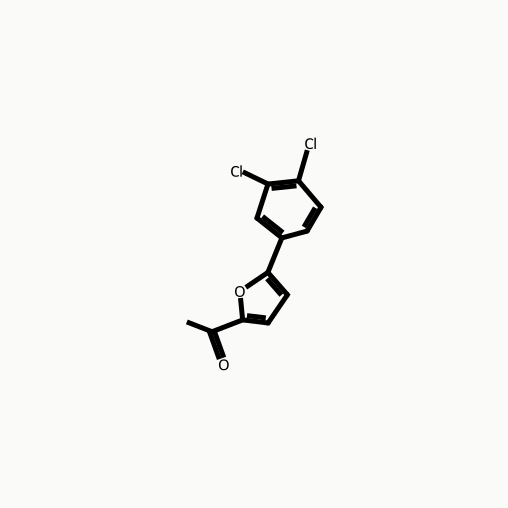 CC(=O)c1ccc(-c2ccc(Cl)c(Cl)c2)o1